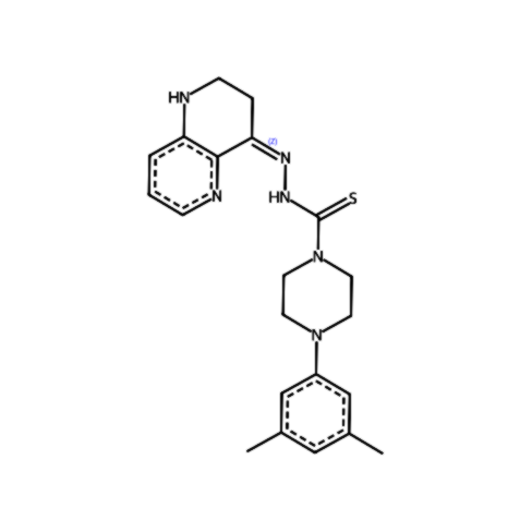 Cc1cc(C)cc(N2CCN(C(=S)N/N=C3/CCNc4cccnc43)CC2)c1